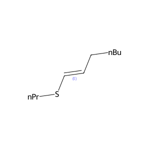 CCCCC/C=C/SCCC